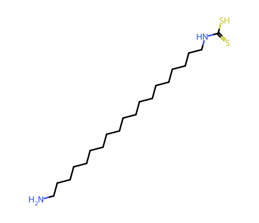 NCCCCCCCCCCCCCCCCCCCNC(=S)S